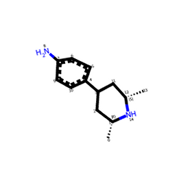 C[C@@H]1CC(c2ccc(N)cc2)C[C@H](C)N1